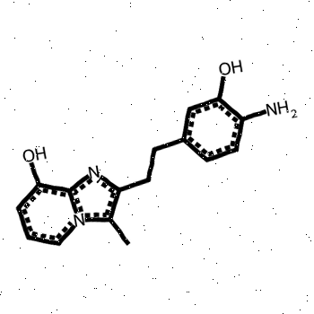 Cc1c(CCc2ccc(N)c(O)c2)nc2c(O)cccn12